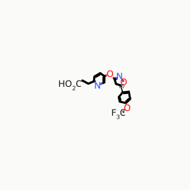 O=C(O)CCc1ccc(OC2=NO[C@@H](c3ccc(OC(F)(F)F)cc3)C2)cn1